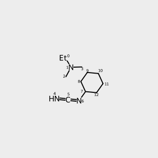 CCN(C)C.N=C=NC1CCCCC1